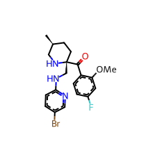 COc1cc(F)ccc1C(=O)[C@@]1(CNc2ccc(Br)cn2)CC[C@H](C)CN1